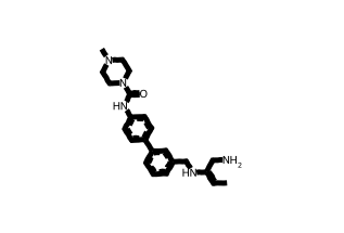 C/C=C(\CN)NCc1cccc(-c2ccc(NC(=O)N3CCN(C)CC3)cc2)c1